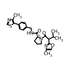 Cc1coc(C(C(=O)N2CCC[C@H]2C(=O)NCc2ccc(-c3scnc3C)cc2)C(C)C)n1